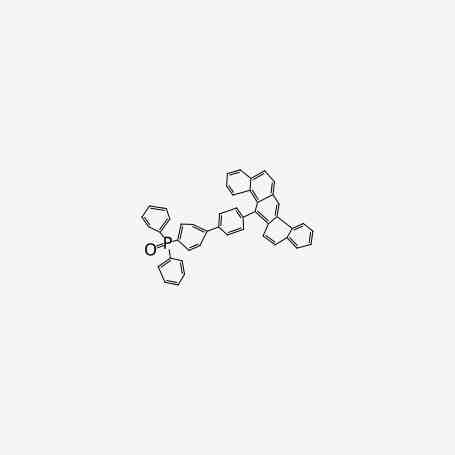 O=P(c1ccccc1)(c1ccccc1)c1ccc(-c2ccc(-c3c4ccc5ccccc5c4cc4ccc5ccccc5c34)cc2)cc1